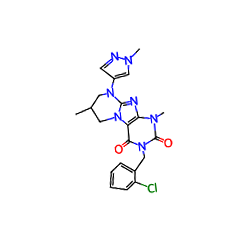 CC1CN(c2cnn(C)c2)c2nc3c(c(=O)n(Cc4ccccc4Cl)c(=O)n3C)n2C1